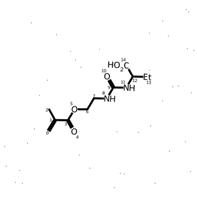 C=C(C)C(=O)OCCNC(=O)NC(CC)C(=O)O